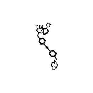 COCC(Cc1ccc(C#Cc2ccc(CN3CCOCC3)cc2)cc1)n1cccc(OC)c1=O